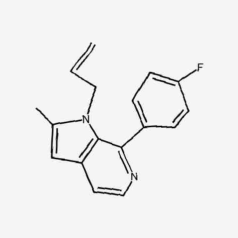 C=CCn1c(C)cc2ccnc(-c3ccc(F)cc3)c21